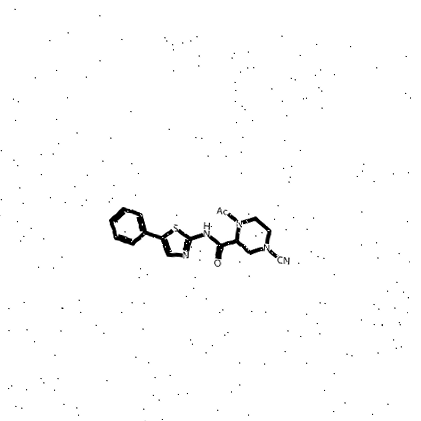 CC(=O)N1CCN(C#N)CC1C(=O)Nc1ncc(-c2ccccc2)s1